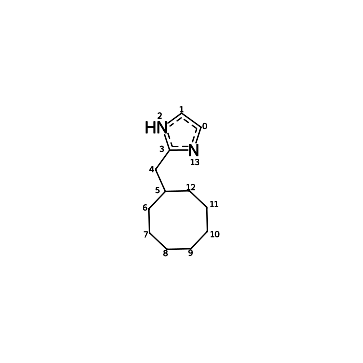 c1c[nH]c(CC2CCCCCCC2)n1